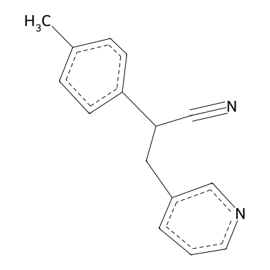 Cc1ccc(C(C#N)Cc2cccnc2)cc1